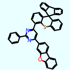 c1ccc(-c2nc(-c3ccc4c(c3)oc3ccccc34)cc(-c3cccc4c3Sc3ccccc3C43c4ccccc4-c4ccccc43)n2)cc1